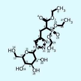 CCOC(=O)C(Cc1cn(C2O[C@H](CO)[C@@H](O)[C@H](O)[C@H]2O)nn1)P(=O)(OCC)OCC